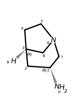 N[C@@H]1C[C@H]2CCN(C1)C2